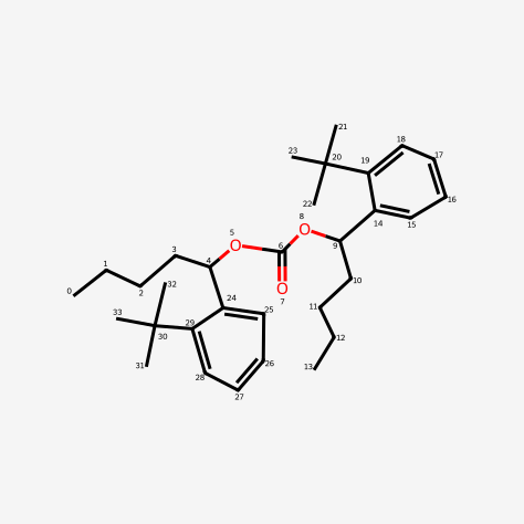 CCCCC(OC(=O)OC(CCCC)c1ccccc1C(C)(C)C)c1ccccc1C(C)(C)C